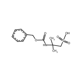 CC(C)(CS(=O)(=O)O)NC(=O)OCc1ccccc1